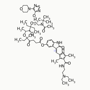 CCN(CC)CCNC(=O)c1c(C)[nH]c(/C=C2\C(=O)Nc3ccc(OC(=O)CCC(=O)C(C)(CC)OC(C)C(=O)C(CC)(CC)O[C@H](COc4nsnc4N4CCOCC4)CN(C(C)=O)C(C)(C)C)cc32)c1C